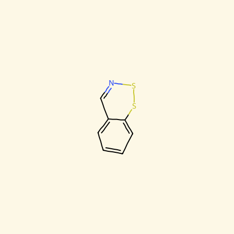 C1=NSSc2ccccc21